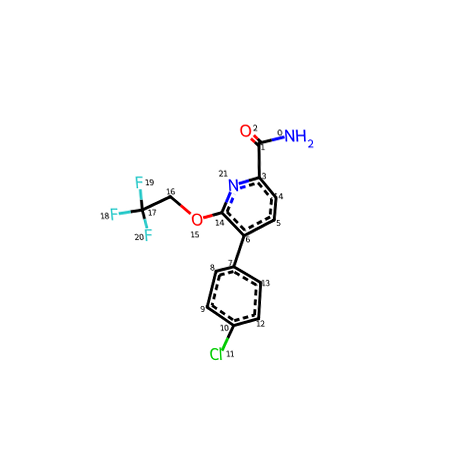 NC(=O)c1[c]cc(-c2ccc(Cl)cc2)c(OCC(F)(F)F)n1